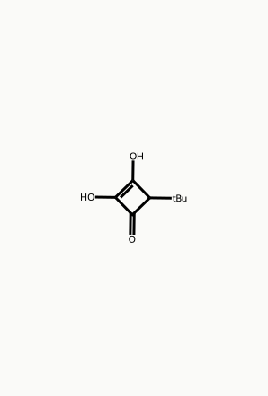 CC(C)(C)C1C(=O)C(O)=C1O